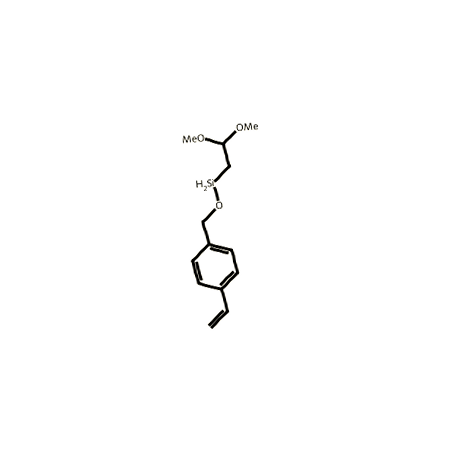 C=Cc1ccc(CO[SiH2]CC(OC)OC)cc1